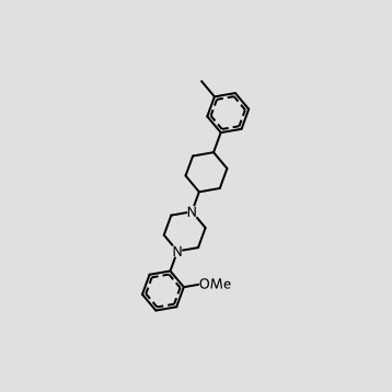 COc1ccccc1N1CCN(C2CCC(c3cccc(C)c3)CC2)CC1